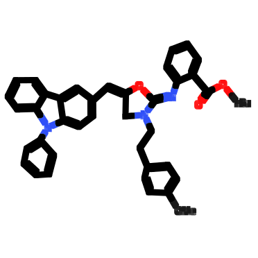 CCCCOC(=O)c1ccccc1/N=C1\O/C(=C/c2ccc3c(c2)c2ccccc2n3-c2ccccc2)CN1CCc1ccc(OC)cc1